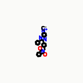 [C-]#[N+]c1ccc2nc(-c3ccc(CN4C(=O)c5ccccc5C4=O)cc3)c(-c3ccccc3)nc2c1